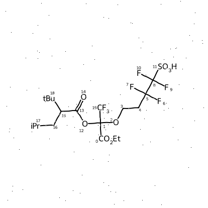 CCOC(=O)C(OCCC(F)(F)C(F)(F)S(=O)(=O)O)(OC(=O)C(CC(C)C)C(C)(C)C)C(F)(F)F